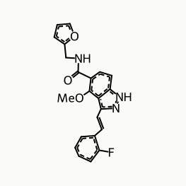 COc1c(C(=O)NCc2ccco2)ccc2[nH]nc(/C=C/c3ccccc3F)c12